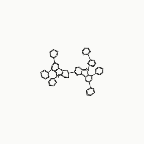 c1ccc(-c2cccc(-n3c4ccc(-c5ccc6c(c5)c5cc(-c7ccccc7)cc(-c7ccccc7)c5n6-c5ccccc5)cc4c4cc(-c5ccccc5)cc(-c5ccccc5)c43)c2)cc1